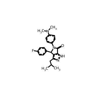 CC(C)Cc1n[nH]c2c1C(c1ccc(F)cc1)N(c1ccc(N(C)C)cc1)C2=O